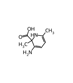 CC1=CC=C(N)C(C)(C(=O)O)N1